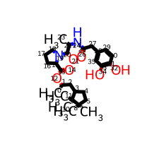 CC(CC1CCC(C)(C)C1(C)C)OC(=O)C1CCCN1C(=O)C(C)NC(=O)Cc1ccc(O)c(O)c1